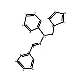 C1=CC(CN(N=Cc2ccccc2)c2ccccc2)C=C1